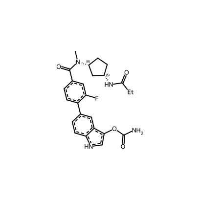 CCC(=O)N[C@H]1CC[C@@H](N(C)C(=O)c2ccc(-c3ccc4[nH]cc(OC(N)=O)c4c3)c(F)c2)C1